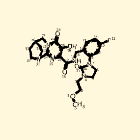 COCCN1CCN(c2cc(F)ccc2CNC(=O)c2nc3n(c(=O)c2O)CC2CCN3CC2)C1=O